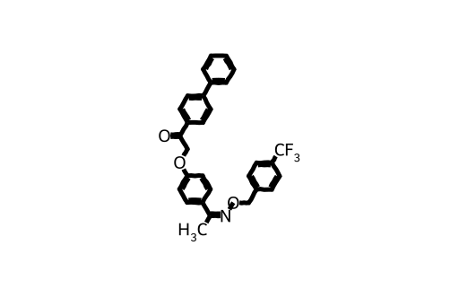 CC(=NOCc1ccc(C(F)(F)F)cc1)c1ccc(OCC(=O)c2ccc(-c3ccccc3)cc2)cc1